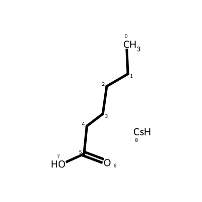 CCCCCC(=O)O.[CsH]